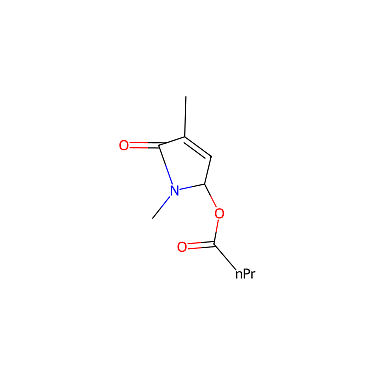 CCCC(=O)OC1C=C(C)C(=O)N1C